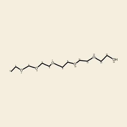 CCOCOCCOCCOCCOCCO